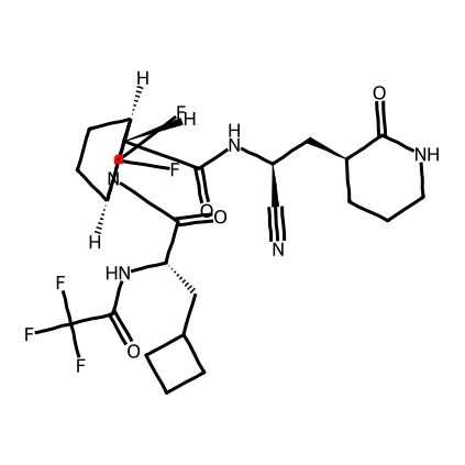 N#C[C@H](C[C@@H]1CCCNC1=O)NC(=O)[C@H]1[C@@H]2CC[C@@H](CC2(F)F)N1C(=O)[C@H](CC1CCC1)NC(=O)C(F)(F)F